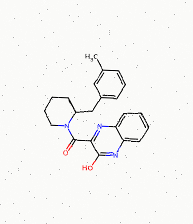 Cc1cccc(CC2CCCCN2C(=O)c2nc3ccccc3nc2O)c1